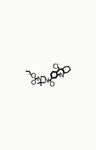 CCCOC(=O)N1CCN(C(=O)c2ccc3c(Cl)c4c(nc3c2)CCCC4)CC1(C)C